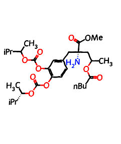 CCCCC(=O)OC(C)C[C@@](N)(Cc1ccc(OC(=O)O[C@@H](C)C(C)C)c(OC(=O)OC(C)C(C)C)c1)C(=O)OC